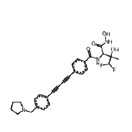 CC(O)(C(F)F)C(NC(=O)c1ccc(C#CC#Cc2ccc(CN3CCCC3)cc2)cc1)C(=O)NO